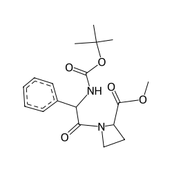 COC(=O)C1CCN1C(=O)C(NC(=O)OC(C)(C)C)c1ccccc1